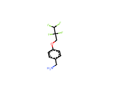 NCc1ccc(OCC(F)(F)C(F)F)cc1